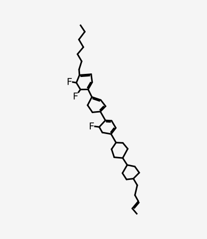 C/C=C/CCC1CCC(C2CCC(C3=CC=C(C4=CC=C(C5=CC=C(CCCCCCC)C(F)C5F)CC4)C(F)C3)CC2)CC1